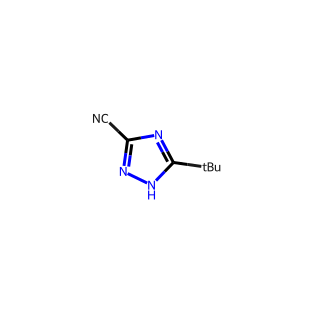 CC(C)(C)c1nc(C#N)n[nH]1